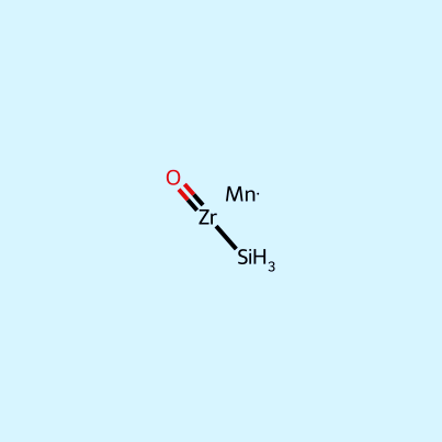 [Mn].[O]=[Zr][SiH3]